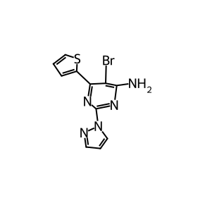 Nc1nc(-n2cccn2)nc(-c2cccs2)c1Br